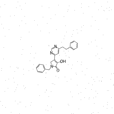 O=C1C(O)=C(c2cc(CCc3ccccc3)ncn2)CN1Cc1ccccc1